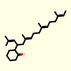 C/C=C(\C)CC/C=C(\C)CC/C=C(\C)CC(C=C(C)C)C1CCCCC1=O